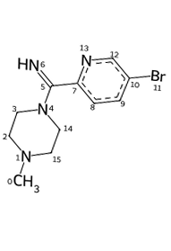 CN1CCN(C(=N)c2ccc(Br)cn2)CC1